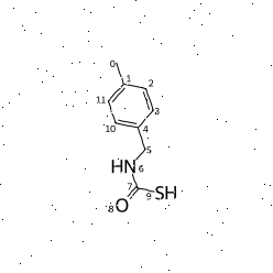 Cc1ccc(CNC(=O)S)cc1